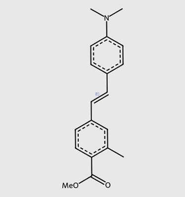 COC(=O)c1ccc(/C=C/c2ccc(N(C)C)cc2)cc1C